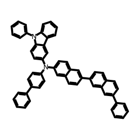 c1ccc(-c2ccc(N(c3ccc4cc(-c5ccc6ccc(-c7ccccc7)cc6c5)ccc4c3)c3ccc4c(c3)c3ccccc3n4-c3ccccc3)cc2)cc1